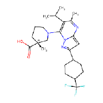 Cc1nc2cc(C3CCC(C(F)(F)F)CC3)nn2c(N2CCC[C@@](C)(C(=O)O)C2)c1C(C)C